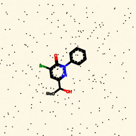 COC(O)c1cc(Br)c(=O)n(-c2ccccc2)n1